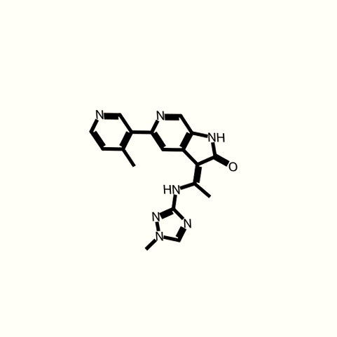 CC(Nc1ncn(C)n1)=C1C(=O)Nc2cnc(-c3cnccc3C)cc21